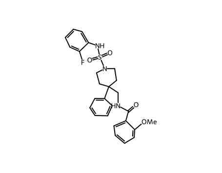 COc1ccccc1C(=O)NCC1(c2ccccc2)CCN(S(=O)(=O)Nc2ccccc2F)CC1